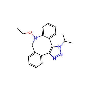 CCON1Cc2ccccc2-c2nnn(C(C)C)c2-c2ccccc21